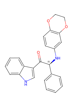 O=C(c1c[nH]c2ccccc12)[C@@H](Nc1ccc2c(c1)OCCO2)c1ccccc1